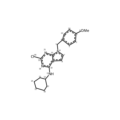 COc1ccc(Cn2ccc3c(NC4CCCCC4)nc(Cl)nc32)cc1